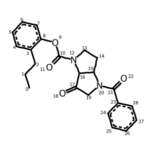 CCCc1ccccc1OC(=O)N1CCC2C1C(=O)CN2C(=O)c1ccccc1